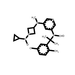 Cc1ccc(Cl)cc1C(C)(C)N(C=O)c1cncc(N(C)C2CN([S+]([O-])C3CC3)C2)c1